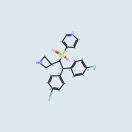 O=S(=O)(c1ccncc1)C(C1CNC1)C(c1ccc(Cl)cc1)c1ccc(Cl)cc1